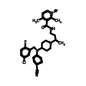 Cc1cc[n+]([O-])c(C)c1C(=O)NCCC(C)N1CCC(N(Cc2cc(Cl)ccc2F)c2ccc(C#N)cc2)CC1